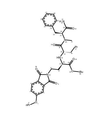 CCCOc1ccc2c(c1)C(=O)N(CC[C@@H](N[C@@H](CC(C)C)C(=O)N(C)[C@@H](Cc1ccccc1)C(N)=O)C(=O)OC(C)(C)C)C2=O